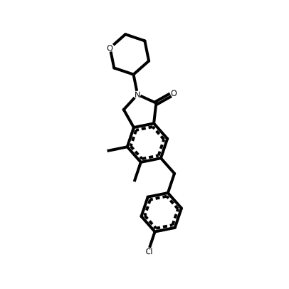 Cc1c(Cc2ccc(Cl)cc2)cc2c(c1C)CN(C1CCCOC1)C2=O